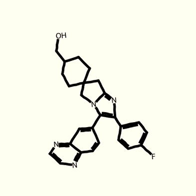 OCC1CCC2(CC1)Cc1nc(-c3ccc(F)cc3)c(-c3ccc4nccnc4c3)n1C2